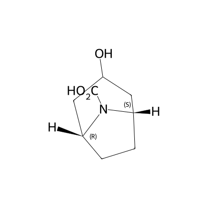 O=C(O)N1[C@@H]2CC[C@H]1CC(O)C2